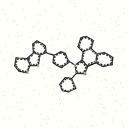 c1ccc(-c2nc3c4ccccc4c4ccccc4c3n2-c2ccc(-c3cccc4c3sc3ncccc34)cc2)cc1